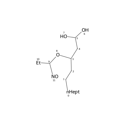 CCCCCCCCCC(CC(O)O)OC(CC)N=O